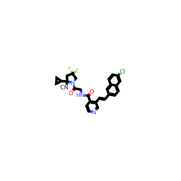 N#CC1(C2CC2)CC(F)(F)CN1C(=O)CNC(=O)c1ccncc1C=Cc1ccc2cc(Cl)ccc2c1